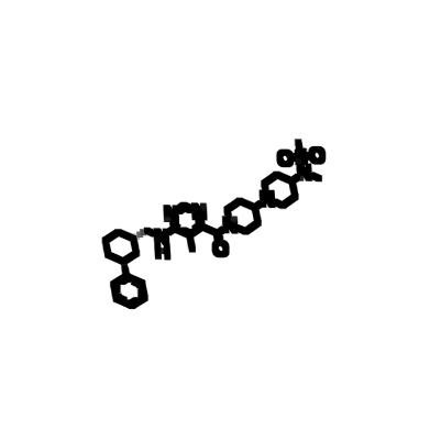 Cc1c(NC[C@H]2CCC[C@H](c3ccccc3)C2)ncnc1C(=O)N1CCC(N2CCC(N(C)S(C)(=O)=O)CC2)CC1